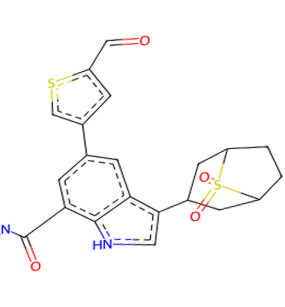 NC(=O)c1cc(-c2csc(C=O)c2)cc2c(C3CC4CCC(C3)S4(=O)=O)c[nH]c12